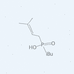 CCC(C)P(=O)(O)CC=C(C)C